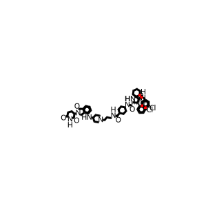 O=C1CCC(N2Cc3c(NC4CCN(CCCNC(=O)C5CCC(NC(=O)[C@@H]6NC7(CCCCC7)[C@@]7(C(=O)Nc8cc(Cl)ccc87)[C@H]6c6cccc(Cl)c6F)CC5)CC4)cccc3C2=O)C(=O)N1